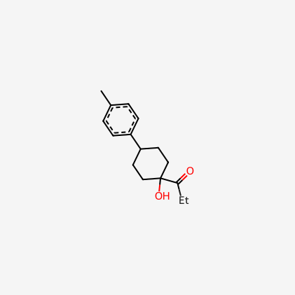 CCC(=O)C1(O)CCC(c2ccc(C)cc2)CC1